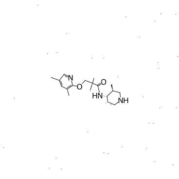 Cc1cnc(OCC(C)(C)C(=O)N[C@H]2CCNC[C@@H]2C)c(C)c1